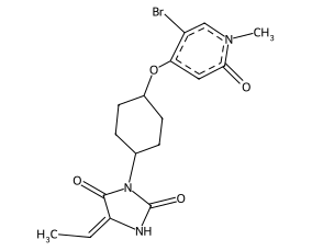 CC=C1NC(=O)N(C2CCC(Oc3cc(=O)n(C)cc3Br)CC2)C1=O